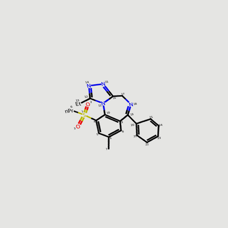 CCCS(=O)(=O)c1cc(C)cc2c1-n1c(CC)nnc1CN=C2c1ccccc1